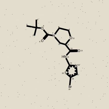 CC(C)(C)OC(=O)N1CCOC(C(=O)Nc2ncc(Br)s2)C1